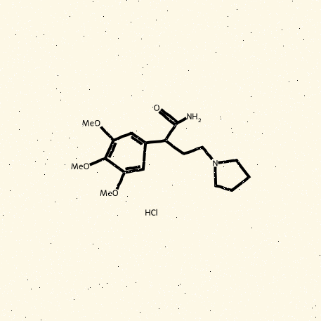 COc1cc(C(CCN2CCCC2)C(N)=O)cc(OC)c1OC.Cl